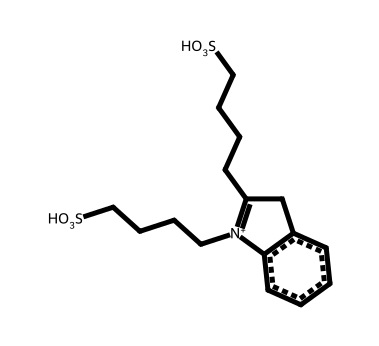 O=S(=O)(O)CCCCC1=[N+](CCCCS(=O)(=O)O)c2ccccc2C1